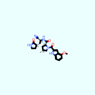 COc1cccc2[nH]c(C(=O)N3C[C@H](C)C[C@H]3C(=O)N[C@H](C#N)C[C@@H]3CCNC3=O)cc12